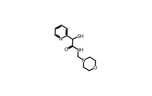 O=C(NCN1CCOCC1)C(S)c1ccccn1